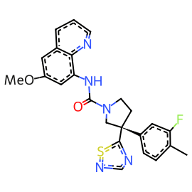 COc1cc(NC(=O)N2CC[C@](c3ccc(C)c(F)c3)(c3ncns3)C2)c2ncccc2c1